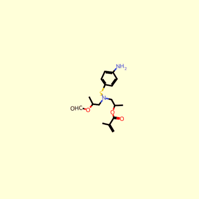 C=C(C)C(=O)OC(C)CN(CC(C)OC=O)Sc1ccc(N)cc1